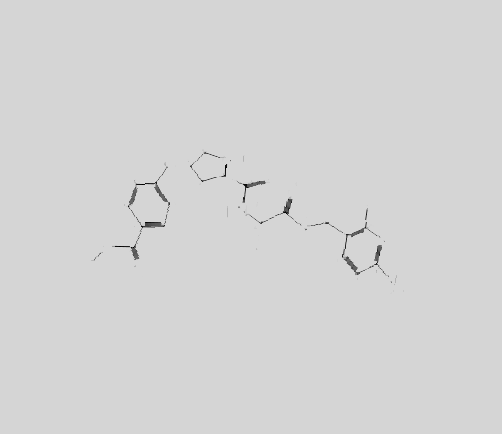 COC(=O)c1ccc(C[C@@H]2CN[C@@H](C(=O)N[C@@H](C)C(=O)NCc3ccc(N)nc3C)C2)cc1